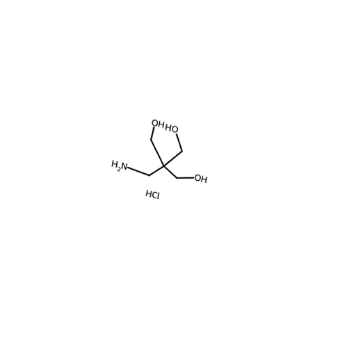 Cl.NCC(CO)(CO)CO